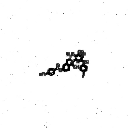 CCCc1ccc(C(=O)Oc2ccc3c(c2)CCN(c2nc(Nc4ccc(F)cc4)nc(C)c2C)C3C)cc1